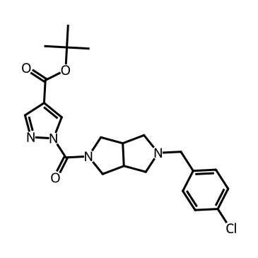 CC(C)(C)OC(=O)c1cnn(C(=O)N2CC3CN(Cc4ccc(Cl)cc4)CC3C2)c1